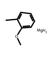 [CH2]c1ccccc1OC.[MgH2]